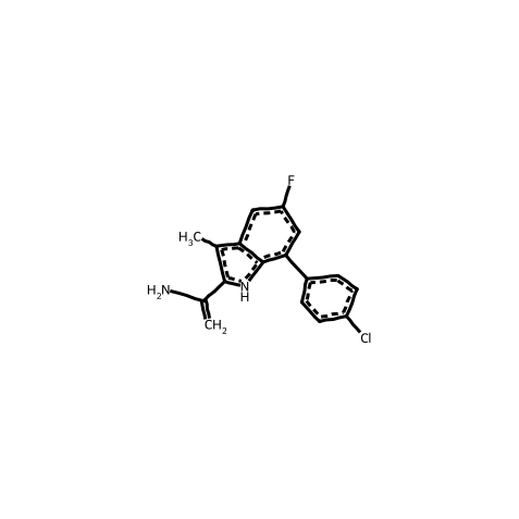 C=C(N)c1[nH]c2c(-c3ccc(Cl)cc3)cc(F)cc2c1C